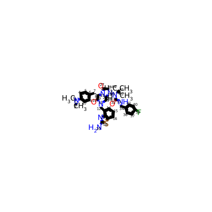 CN(C)c1ccc(C[C@H]2C(=O)N(Cc3cccc4sc(N)nc34)C[C@H]3N2C(=O)CN3N(C(=O)NCc2ccc(F)cc2)C(C)(C)C)cc1